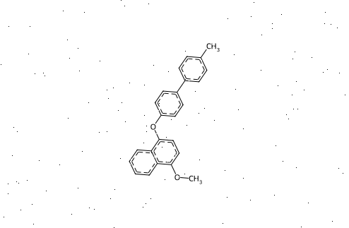 COc1ccc(Oc2ccc(-c3ccc(C)cc3)cc2)c2ccccc12